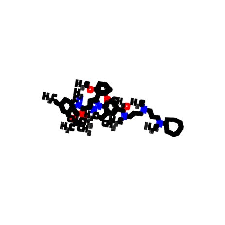 C=C1CC(CC)CC(C)C1(NC(=O)c1cc(-c2c(OC)cccc2OC)n(-c2ccc(C(=O)N(C)CCCN(C)CCCN(C)C3CCCCCCC3)cc2C(C)C)n1)C(=O)OC(C)(C)C